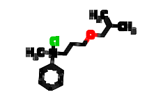 C=C(C)COCCC[Si](C)(Cl)c1ccccc1